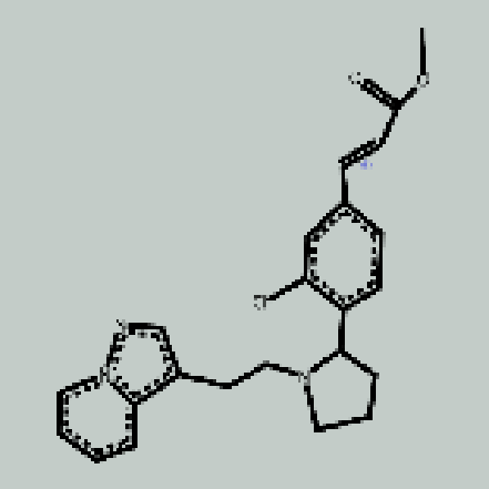 COC(=O)/C=C/c1ccc(C2CCCN2CCc2cnn3ccccc23)c(Cl)c1